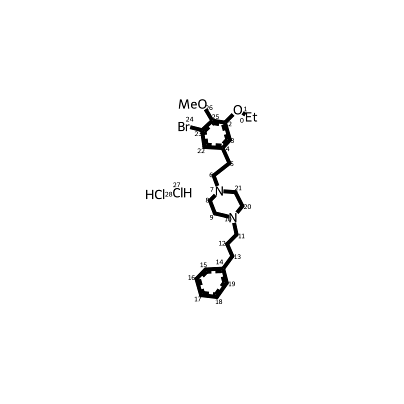 CCOc1cc(CCN2CCN(CCCc3ccccc3)CC2)cc(Br)c1OC.Cl.Cl